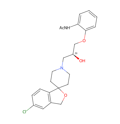 CC(=O)Nc1ccccc1OC[C@@H](O)CN1CCC2(CC1)OCc1cc(Cl)ccc12